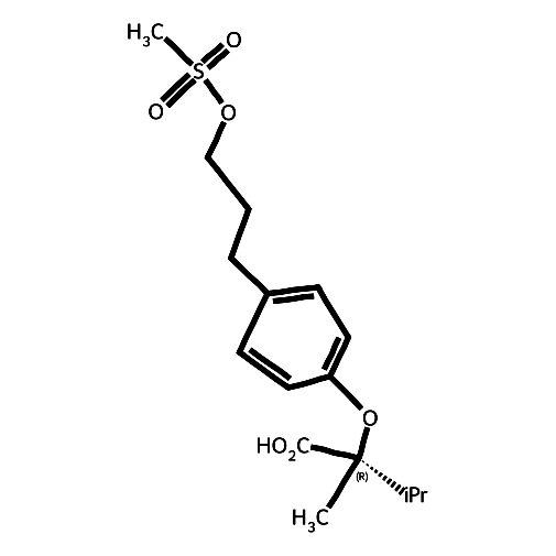 CC(C)[C@@](C)(Oc1ccc(CCCOS(C)(=O)=O)cc1)C(=O)O